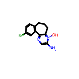 Nc1cnc2c([n+]1O)CCCc1ccc(Br)cc1-2